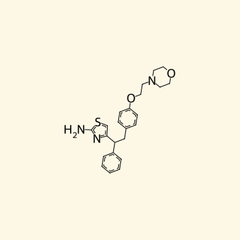 Nc1nc(C(Cc2ccc(OCCN3CCOCC3)cc2)c2ccccc2)cs1